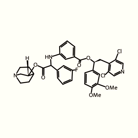 COc1ccc([C@H](Cc2c(Cl)cncc2Cl)OC(=O)c2cccc(NC(C(=O)O[C@H]3CN4CCC3CC4)c3cccc(F)c3)c2)cc1OC